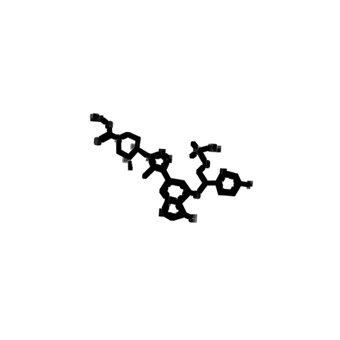 Cc1c(-c2cc(OC(CO[Si](C)(C)C(C)(C)C)c3ccc(F)cn3)c3c(Cl)cnn3c2)nnn1[C@@H]1CCN(C(=O)OC(C)(C)C)C[C@H]1C